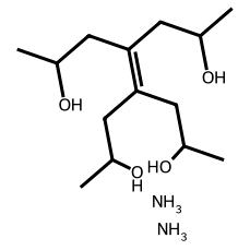 CC(O)CC(CC(C)O)=C(CC(C)O)CC(C)O.N.N